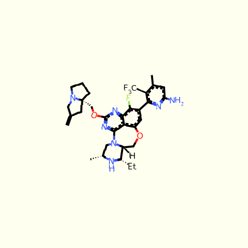 C=C1CN2CCC[C@@]2(COc2nc3c4c(cc(-c5nc(N)cc(C)c5C(F)(F)F)c(F)c4n2)OC[C@@H]2[C@H](CC)N[C@H](C)CN32)C1